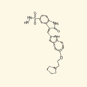 CCCNS(=O)(=O)c1ccc2c(c1)C(=Cc1cc3cc(OCCN4CCCC4)ccc3[nH]1)C(=O)N2